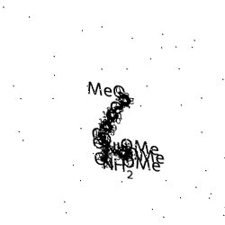 COc1cccc(COc2ccc(-c3ccc(C(=O)OC(=O)[C@H](CCC(N)=O)NCc4cc(OC)c(OC)c(OC)c4)cc3)cc2)c1